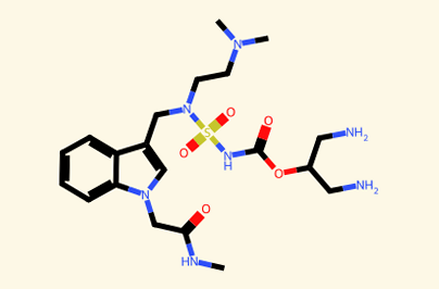 CNC(=O)Cn1cc(CN(CCN(C)C)S(=O)(=O)NC(=O)OC(CN)CN)c2ccccc21